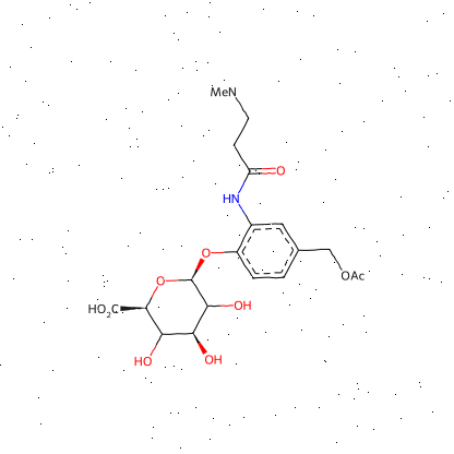 CNCCC(=O)Nc1cc(COC(C)=O)ccc1O[C@@H]1O[C@H](C(=O)O)C(O)[C@H](O)C1O